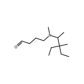 CCC(C)(CC)C(C)N(C)CCCC=O